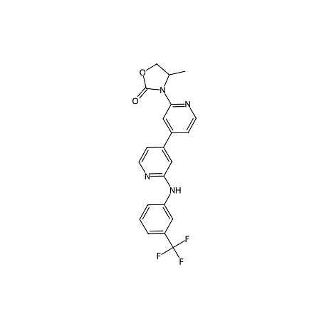 CC1COC(=O)N1c1cc(-c2ccnc(Nc3cccc(C(F)(F)F)c3)c2)ccn1